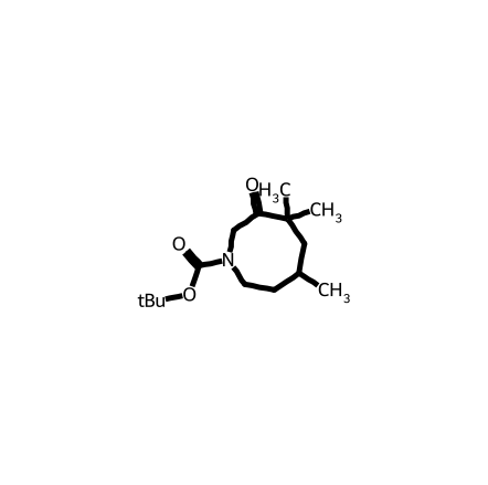 CC1CCN(C(=O)OC(C)(C)C)CC(=O)C(C)(C)C1